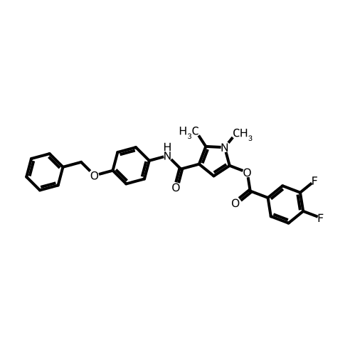 Cc1c(C(=O)Nc2ccc(OCc3ccccc3)cc2)cc(OC(=O)c2ccc(F)c(F)c2)n1C